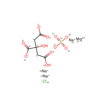 O=C([O-])CC(O)(CC(=O)O)C(=O)[O-].O=S(=O)([O-])[O-].[Cl-].[Mg+2].[Na+].[Na+].[Na+]